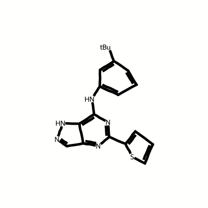 CC(C)(C)c1cccc(Nc2nc(-c3cccs3)nc3cn[nH]c23)c1